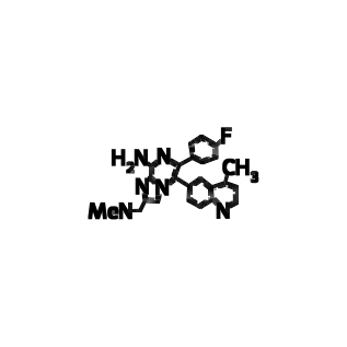 CNCc1cn2c(-c3ccc4nccc(C)c4c3)c(-c3ccc(F)cc3)nc(N)c2n1